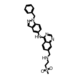 CS(=O)(=O)CCNCc1ccc2c(Nc3ccc4c(cnn4Cc4ccccc4)c3)ncnc2c1